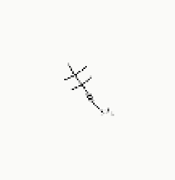 CC(C)(C)C(C)(C)C#C[SiH3]